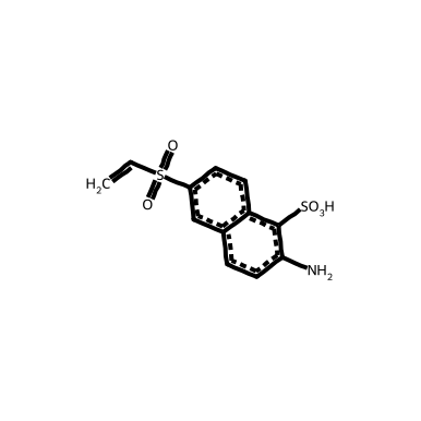 C=CS(=O)(=O)c1ccc2c(S(=O)(=O)O)c(N)ccc2c1